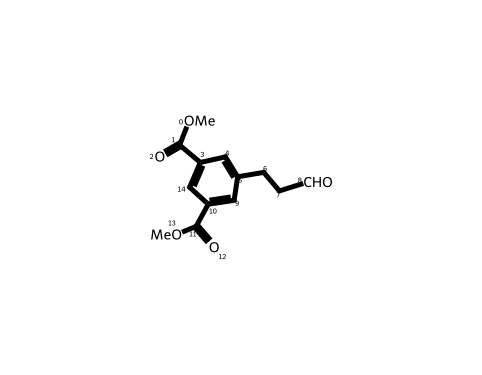 COC(=O)c1cc(CCC=O)cc(C(=O)OC)c1